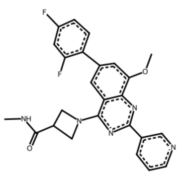 CNC(=O)C1CN(c2nc(-c3cccnc3)nc3c(OC)cc(-c4ccc(F)cc4F)cc23)C1